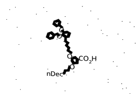 CCCCCCCCCCCCCCOc1cc(OCCCCCCc2cccc(OCc3ccccc3)c2OCc2ccccc2)cc(C(=O)O)c1